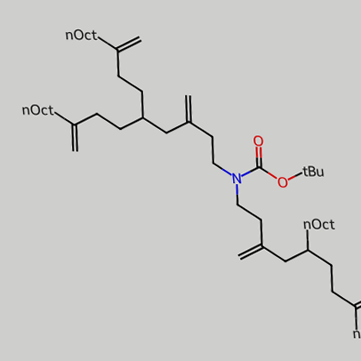 C=C(CCCCCCCC)CCC(CCCCCCCC)CC(=C)CCN(CCC(=C)CC(CCC(=C)CCCCCCCC)CCC(=C)CCCCCCCC)C(=O)OC(C)(C)C